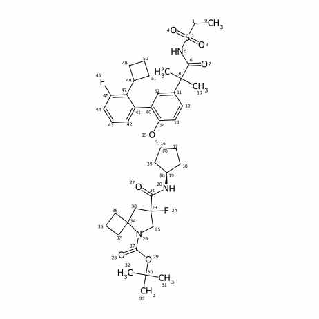 CCS(=O)(=O)NC(=O)C(C)(C)c1ccc(O[C@@H]2CC[C@@H](NC(=O)C3(F)CN(C(=O)OC(C)(C)C)C4(CCC4)C3)C2)c(-c2cccc(F)c2C2CCC2)c1